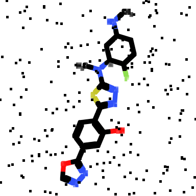 CNC1CCC(F)[C@@H](N(C)c2nnc(-c3ccc(-c4nnco4)cc3O)s2)C1